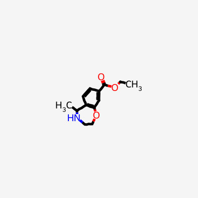 CCOC(=O)c1ccc2c(c1)OCCNC2C